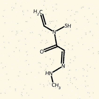 C=CN(S)C(=O)/C=N\NC